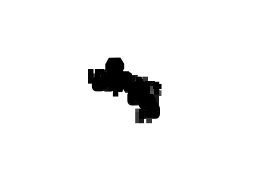 CCCc1nc(CC)c(-c2ccc(OC(C)C)nc2)c(=O)n1Cc1ccc(-c2ccccc2-c2noc(=O)[nH]2)cc1F